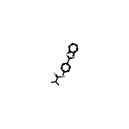 CC(C)C(=O)Nc1ccc(-c2nc3ccccc3s2)cc1